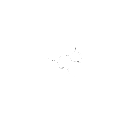 O=C([O-])c1cc(CO)cn2c(F)cnc12.[Li+]